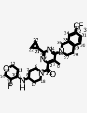 Cc1c(C(=O)N2CCC(N[C@@H]3CCOC[C@@H]3F)CC2)nc(C2CC2)nc1N1CCc2ccc(C(F)(F)F)cc2C1